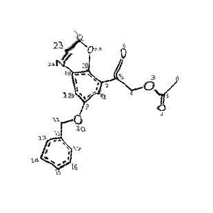 CC(=O)OCC(=O)c1cc(OCc2ccccc2)cc2c1OCC=N2